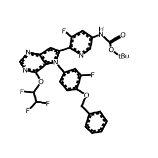 CC(C)(C)OC(=O)Nc1cnc(-c2cc3ncnc(OC(F)C(F)F)c3n2-c2ccc(OCc3ccccc3)c(F)c2)c(F)c1